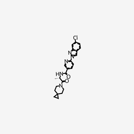 C[C@H](NC(=O)c1ccc(-n2cc3ccc(Cl)cc3n2)nc1)C(=O)N1CCC2(CC1)CC2